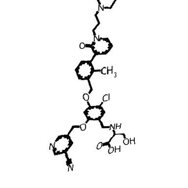 Cc1c(COc2cc(OCc3cncc(C#N)c3)c(CN[C@@H](CO)C(=O)O)cc2Cl)cccc1-c1cccn(CCCN2CCCC2)c1=O